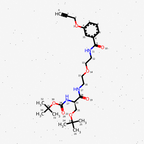 C#CCOc1cccc(C(=O)NCCOCCNC(=O)[C@@H](COC(C)(C)C)NC(=O)OC(C)(C)C)c1